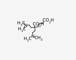 CN(C)CCC(CCCC(=O)O)(CCN(C)C)C(=O)O